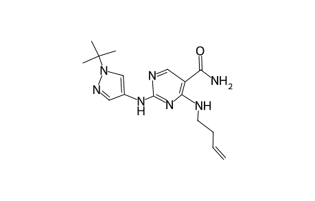 C=CCCNc1nc(Nc2cnn(C(C)(C)C)c2)ncc1C(N)=O